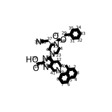 Cc1cccc2cccc(N3CCc4c(nc(C(=O)O)nc4N4CCN(C(=O)OCc5ccccc5)[C@@H](CC#N)C4)C3)c12